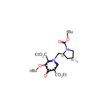 CCCCOc1c(C(=O)OCC)n(C[C@@H]2C[C@@H](C)CN2C(=O)OC(C)(C)C)cc(C(=O)OCC)c1=O